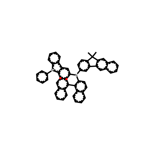 CC1(C)c2ccc(N(c3ccc4c(c3)c3ccccc3n4-c3ccccc3)c3ccc4ccccc4c3-c3cccc4ccccc34)cc2-c2cc3ccccc3cc21